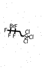 FC(F)(Br)C(F)(F)CC[Si](Cl)(Cl)Cl